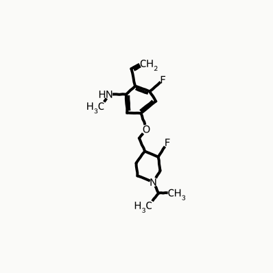 C=Cc1c(F)cc(OCC2CCN(C(C)C)CC2F)cc1NC